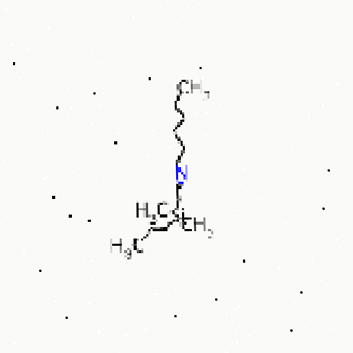 CC=C[Si](C)(C)CC=NCCCCCC